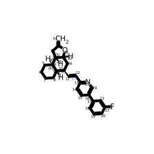 C=C1C[C@H]2[C@@H]3CCCC[C@H]3[C@H](/C=C/c3ccc(-c4cccc(F)c4)cn3)C[C@H]2O1